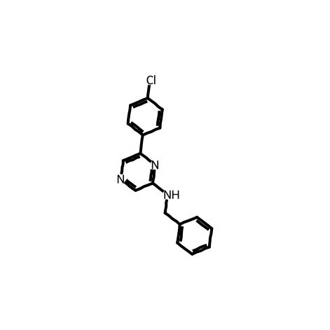 Clc1ccc(-c2cncc(NCc3ccccc3)n2)cc1